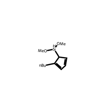 CCCCC1=CC=CC1[SiH](OC)OC